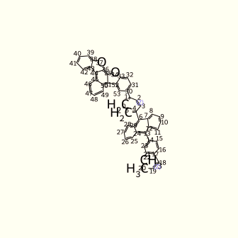 C=C(/C=C\C(=C)c1c2ccccc2c(-c2ccc(/C=C\C)c(C)c2)c2ccccc12)c1ccc2oc3c4oc5ccccc5c4c4ccccc4c3c2c1